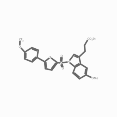 CCOC(=O)CCc1cn(S(=O)(=O)c2ccc(-c3ccc(OC(F)(F)F)cc3)s2)c2ccc(OC)cc12